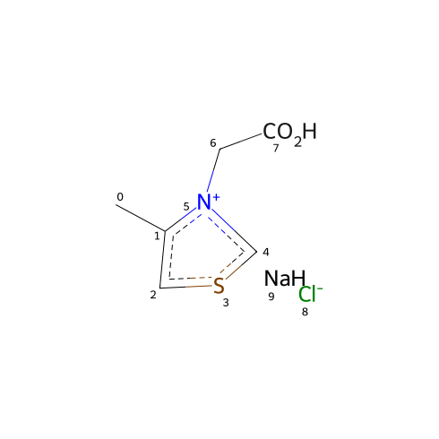 Cc1csc[n+]1CC(=O)O.[Cl-].[NaH]